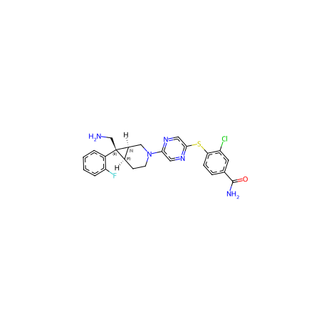 NC[C@]1(c2ccccc2F)[C@@H]2CCN(c3cnc(Sc4ccc(C(N)=O)cc4Cl)cn3)C[C@@H]21